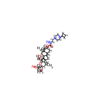 CCO[C@@H](C1C[C@@H](C)[C@H]2C(O1)[C@H](O)C1(C)C3CC[C@H]4C(C)(C)[C@@H](OC(=O)NCCN5CCN(C6CCC6)CC5)CC[C@@]45CC35CC[C@]21C)C(C)(C)O